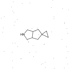 C1NCC2CC3(CC3)CC12